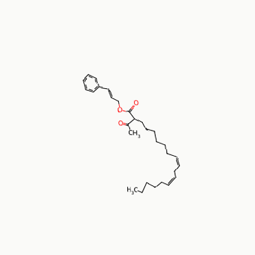 CCCCC/C=C\C/C=C\CCCCCCC(C(C)=O)C(=O)OCC=Cc1ccccc1